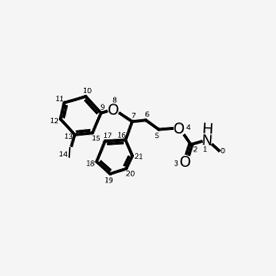 CNC(=O)OCCC(Oc1cccc(I)c1)c1ccccc1